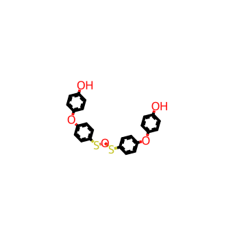 Oc1ccc(Oc2ccc(SOSc3ccc(Oc4ccc(O)cc4)cc3)cc2)cc1